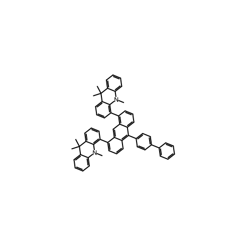 CN1c2ccccc2C(C)(C)c2cccc(-c3cccc4c(-c5ccc(-c6ccccc6)cc5)c5cccc(-c6cccc7c6N(C)c6ccccc6C7(C)C)c5cc34)c21